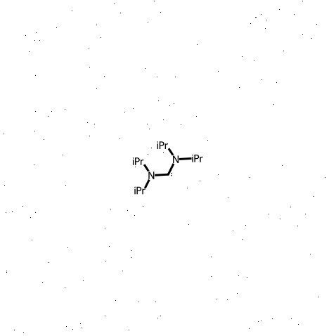 CC(C)N([C]N(C(C)C)C(C)C)C(C)C